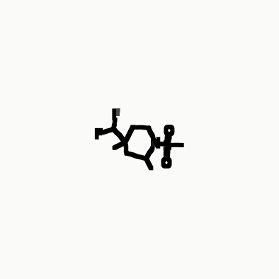 CC1CC(C)(C(F)F)CCN1S(C)(=O)=O